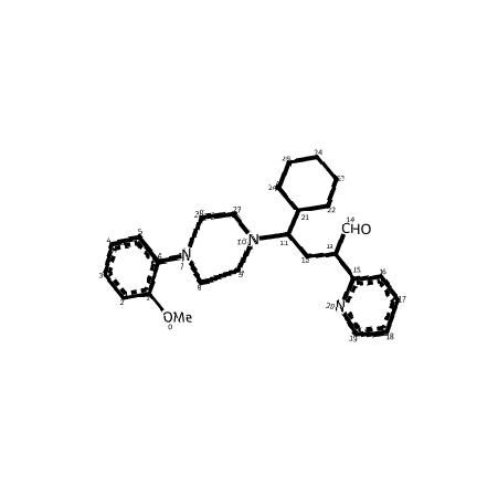 COc1ccccc1N1CCN(C(CC(C=O)c2ccccn2)C2CCCCC2)CC1